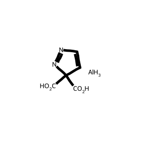 O=C(O)C1(C(=O)O)C=CN=N1.[AlH3]